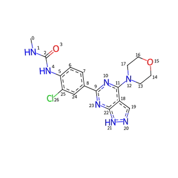 CNC(=O)Nc1ccc(-c2nc(N3CCOCC3)c3cn[nH]c3n2)cc1Cl